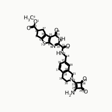 COC(=O)C1Cc2sc3nc(C(=O)NCc4ccc5c(c4)CN(c4c(N)c(=O)c4=O)CC5)[nH]c(=O)c3c2C1